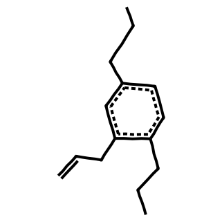 C=CCc1cc(CCC)ccc1CCC